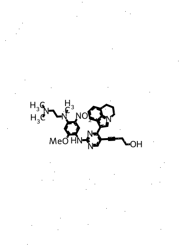 COc1cc(N(C)CCN(C)C)c([N+](=O)[O-])cc1Nc1ncc(C#CCCO)c(-c2cn3c4c(cccc24)CCC3)n1